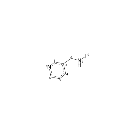 INCc1cccnc1